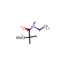 COC(C)(C)C(=O)N(C)CC(F)(F)F